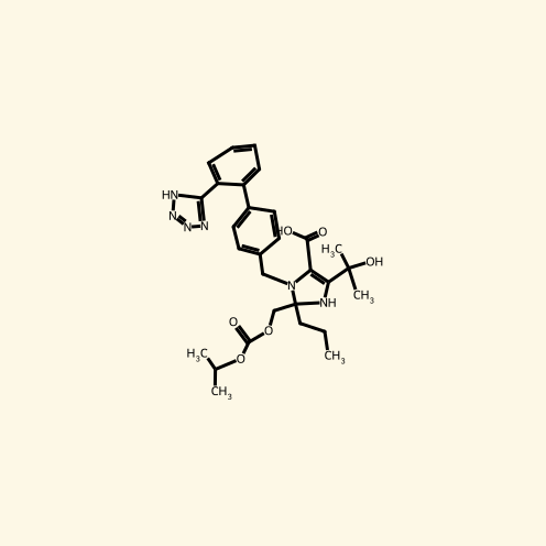 CCCC1(COC(=O)OC(C)C)NC(C(C)(C)O)=C(C(=O)O)N1Cc1ccc(-c2ccccc2-c2nnn[nH]2)cc1